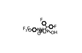 [O-][S+](Nc1ccc(OC(F)(F)F)cc1)N1CCN(CCO)C(C(c2ccc(F)cc2)c2ccc(F)cc2)C1